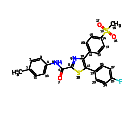 Cc1ccc(NC(=O)c2nc(-c3ccc(S(C)(=O)=O)cc3)c(-c3ccc(F)cc3)s2)cc1